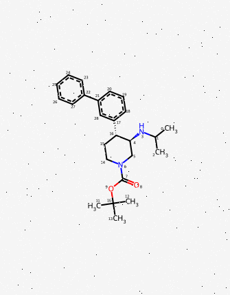 CC(C)N[C@H]1CN(C(=O)OC(C)(C)C)CC[C@@H]1c1cccc(-c2ccccc2)c1